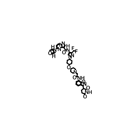 O=C1CCC(c2noc3c(NC(=O)CN4CCC(OC5CCC(n6cc(NC(=O)c7cnn8ccc(N9C[C@H]%10C[C@@H]9CO%10)nc78)c(C(F)F)n6)CC5)CC4)cccc23)C(=O)N1